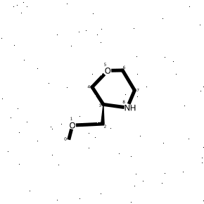 COC[C@H]1COCCN1